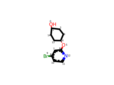 O[C@H]1CC[C@H](Oc2cc(Br)ccn2)CC1